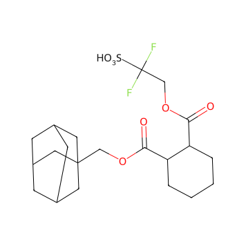 O=C(OCC12CC3CC(CC(C3)C1)C2)C1CCCCC1C(=O)OCC(F)(F)S(=O)(=O)O